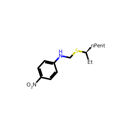 CCCCC[C@@H](CC)SCNc1ccc([N+](=O)[O-])cc1